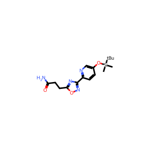 CC(C)(C)[Si](C)(C)Oc1ccc(-c2noc(CCC(N)=O)n2)nc1